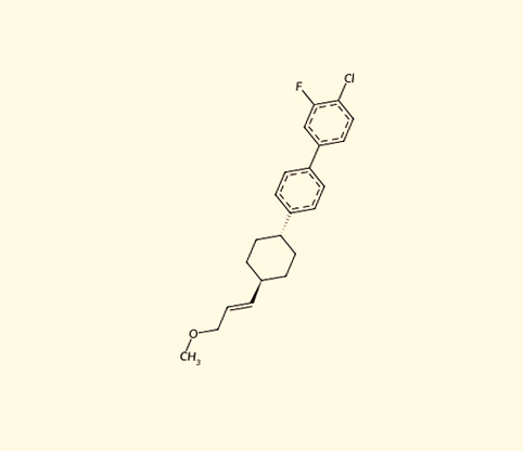 COCC=C[C@H]1CC[C@H](c2ccc(-c3ccc(Cl)c(F)c3)cc2)CC1